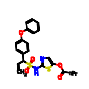 C=CC(c1ccc(Oc2ccccc2)cc1)S(=O)(=O)Nc1ncc(OC(=O)CCC)s1